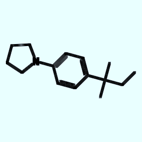 CCC(C)(C)c1ccc(N2CCCC2)cc1